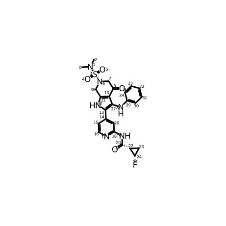 CN(C)S(=O)(=O)N1CC(=O)c2c([nH]c(-c3ccnc(NC(=O)[C@@H]4C[C@@H]4F)c3)c2Nc2ccccc2)C1